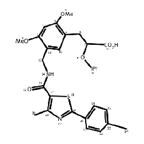 COc1cc(OC)c(CC(OC(C)C)C(=O)O)cc1CNC(=O)c1sc(-c2ccc(C)cc2)nc1C